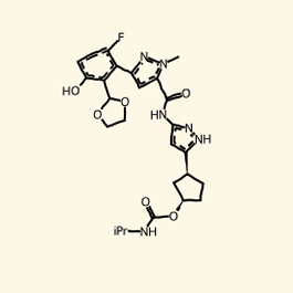 CC(C)NC(=O)O[C@@H]1CC[C@H](c2cc(NC(=O)c3cc(-c4c(F)ccc(O)c4C4OCCO4)nn3C)n[nH]2)C1